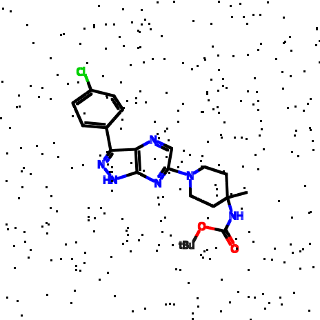 CC1(NC(=O)OC(C)(C)C)CCN(c2cnc3c(-c4ccc(Cl)cc4)n[nH]c3n2)CC1